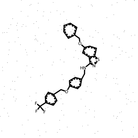 FC(F)(F)c1ccc(COc2ccc(CNc3nsc4ccc(OCc5ccccc5)cc34)cc2)cc1